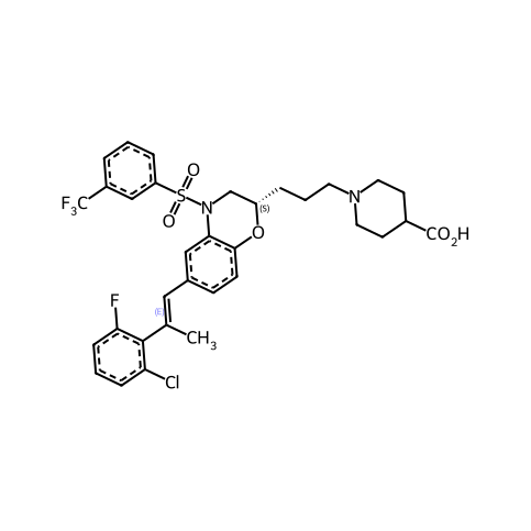 C/C(=C\c1ccc2c(c1)N(S(=O)(=O)c1cccc(C(F)(F)F)c1)C[C@H](CCCN1CCC(C(=O)O)CC1)O2)c1c(F)cccc1Cl